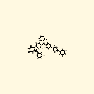 c1ccc(-c2ncc(-c3ccc(N4c5ccccc5C5CC6c7ccccc7N(c7ccccc7)C6CC54)cc3)cn2)cc1